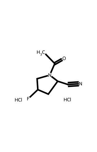 CC(=O)N1CC(F)CC1C#N.Cl.Cl